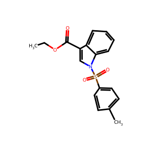 CCOC(=O)c1cn(S(=O)(=O)c2ccc(C)cc2)c2ccccc12